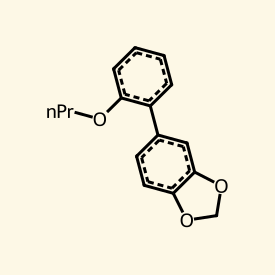 CCCOc1ccccc1-c1ccc2c(c1)OCO2